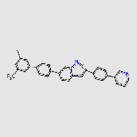 Cc1cc(-c2ccc(-c3ccc4cc(-c5ccc(-c6cccnc6)cc5)cnc4c3)cc2)cc(C(F)(F)F)c1